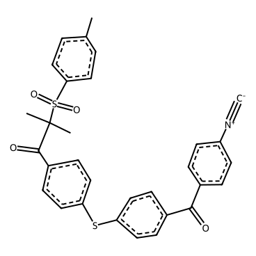 [C-]#[N+]c1ccc(C(=O)c2ccc(Sc3ccc(C(=O)C(C)(C)S(=O)(=O)c4ccc(C)cc4)cc3)cc2)cc1